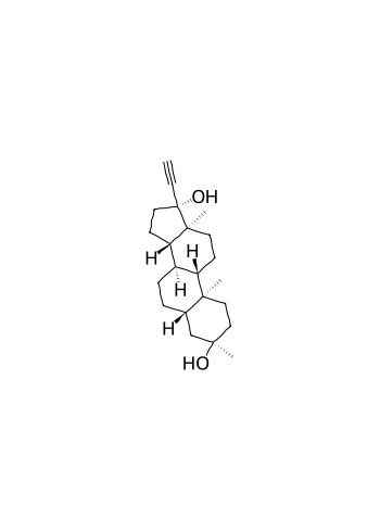 C#C[C@]1(O)CC[C@H]2[C@@H]3CC[C@H]4C[C@](C)(O)CC[C@]4(C)[C@H]3CC[C@@]21C